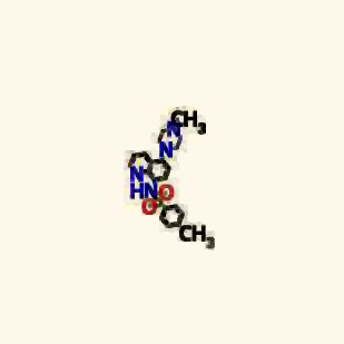 Cc1ccc(S(=O)(=O)Nc2ccc(N3CCN(C)CC3)c3cccnc23)cc1